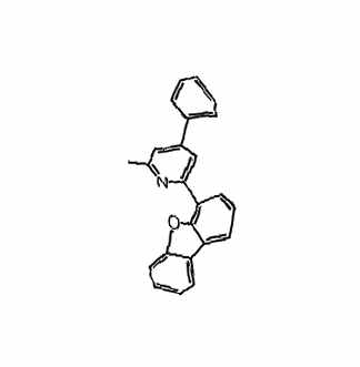 Cc1cc(-c2ccccc2)cc(-c2cccc3c2oc2ccccc23)n1